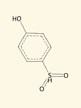 O=[SH](=O)c1ccc(O)cc1